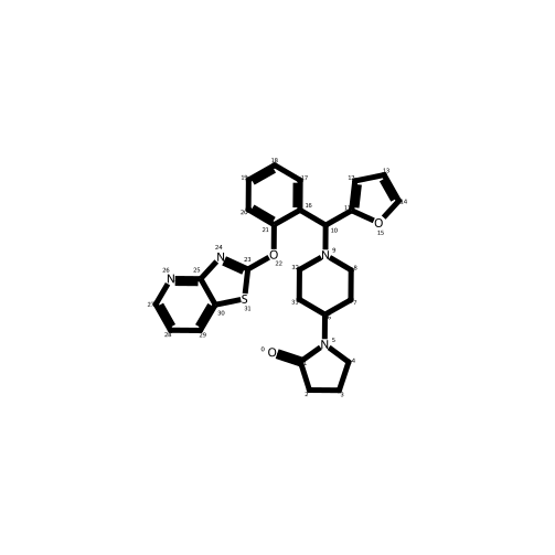 O=C1CCCN1C1CCN(C(c2ccco2)c2ccccc2Oc2nc3ncccc3s2)CC1